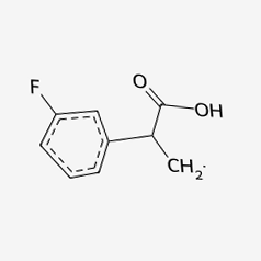 [CH2]C(C(=O)O)c1cccc(F)c1